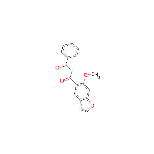 COc1cc2occc2cc1C(=O)CC(=O)c1ccccc1